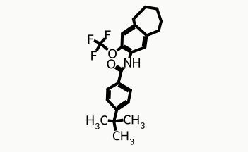 CC(C)(C)c1ccc(C(=O)Nc2cc3c(cc2OC(F)(F)F)CCCCC3)cc1